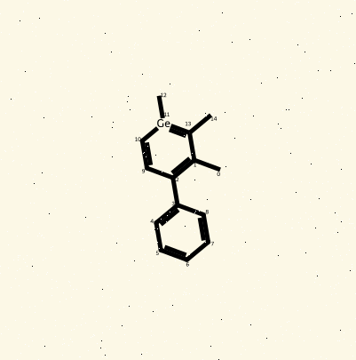 CC1=C(c2ccccc2)C=[CH][Ge]([CH3])=[C]1C